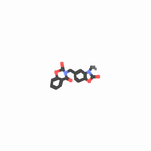 Cn1c(=O)oc2ccc(Cn3c(=O)oc4ccccc4c3=O)cc21